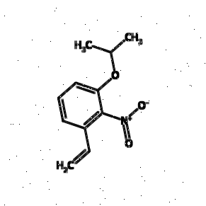 C=Cc1cccc(OC(C)C)c1[N+](=O)[O-]